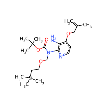 C=C(C)COc1ccnc(N(COCC[Si](C)(C)C)C(=O)OC(C)(C)C)c1N